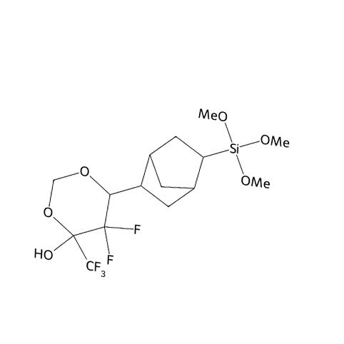 CO[Si](OC)(OC)C1CC2CC1CC2C1OCOC(O)(C(F)(F)F)C1(F)F